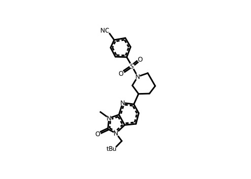 Cn1c(=O)n(CC(C)(C)C)c2ccc(C3CCCN(S(=O)(=O)c4ccc(C#N)cc4)C3)nc21